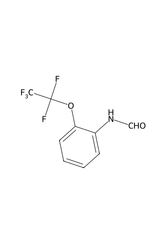 O=CNc1ccccc1OC(F)(F)C(F)(F)F